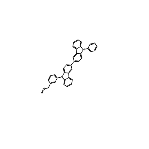 C=NCc1cccc(-n2c3ccccc3c3cc(-c4ccc5c(c4)c4ccccc4n5-c4ccccc4)ccc32)c1